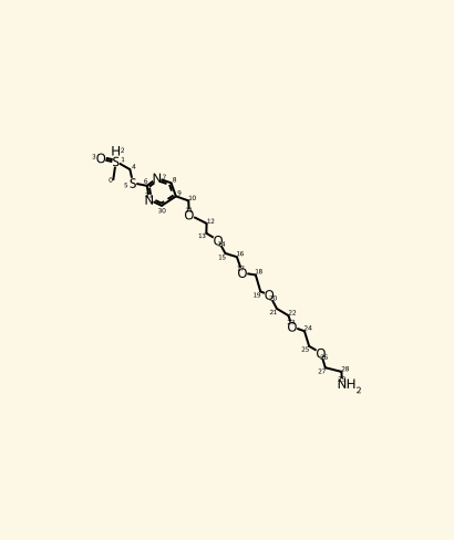 C[SH](C)(=O)CSc1ncc(COCCOCCOCCOCCOCCOCCN)cn1